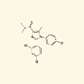 Cc1c(C(=O)N(C)C)nc(-c2ccc(Cl)cc2Cl)n1-c1ccc(Cl)cc1